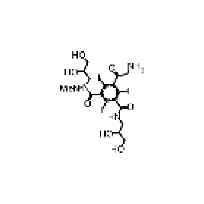 CNN(CC(O)CO)C(=O)c1c(I)c(C(=O)CN)c(I)c(C(=O)NCC(O)CO)c1I